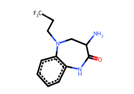 NC1CN(CCC(F)(F)F)c2ccccc2NC1=O